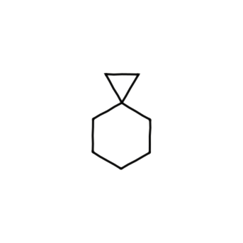 C1CCC2(CC1)CC2